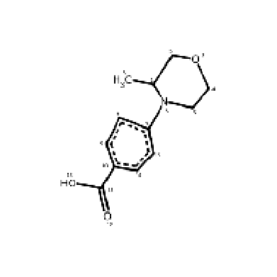 CC1COCCN1c1ccc(C(=O)O)cc1